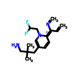 C=C/C(N=C)=C1\C=CC(CC(C)(C)CN)=CN1CC(F)F